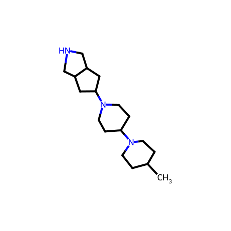 CC1CCN(C2CCN(C3CC4CNCC4C3)CC2)CC1